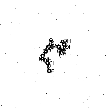 CCNC(=O)c1nnc(-c2cc(C(C)C)c(O)cc2O)n1-c1ccc(CN2CCC(C(=O)N(CCC[SH](=O)=O)Cc3ccc(-c4ccc5ncnc(Nc6ccc(OCc7cccc(F)c7)c(Cl)c6)c5c4)o3)CC2)cc1